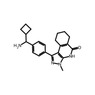 Cn1nc(-c2ccc(C(N)C3CCC3)cc2)c2c3c(c(=O)[nH]c21)CCCC3